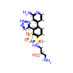 NC[C@H](O)CNS1(=O)=NS(=O)(=O)c2c1ccc(-c1ccnc(N)c1)c2-c1nn[nH]n1